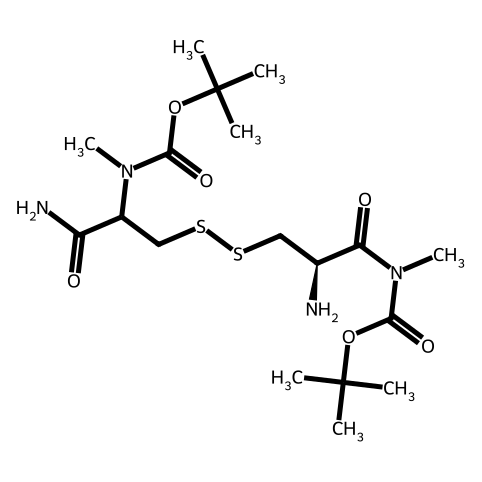 CN(C(=O)OC(C)(C)C)C(=O)[C@@H](N)CSSCC(C(N)=O)N(C)C(=O)OC(C)(C)C